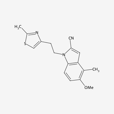 COc1ccc2c(cc(C#N)n2CCc2csc(C)n2)c1C